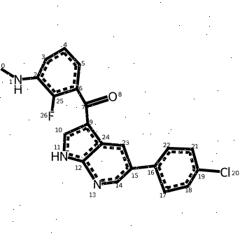 CNc1cccc(C(=O)c2c[nH]c3ncc(-c4ccc(Cl)cc4)cc23)c1F